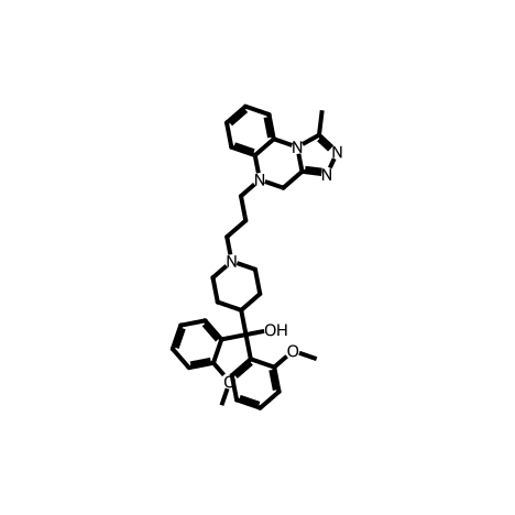 COc1ccccc1C(O)(c1ccccc1OC)C1CCN(CCCN2Cc3nnc(C)n3-c3ccccc32)CC1